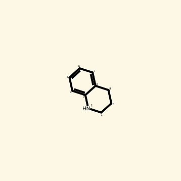 [CH]1CNc2ccccc2C1